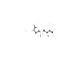 CN/C(C(=O)NC1OC(CO)C(O)C1O)=C(/N)C(=N)N